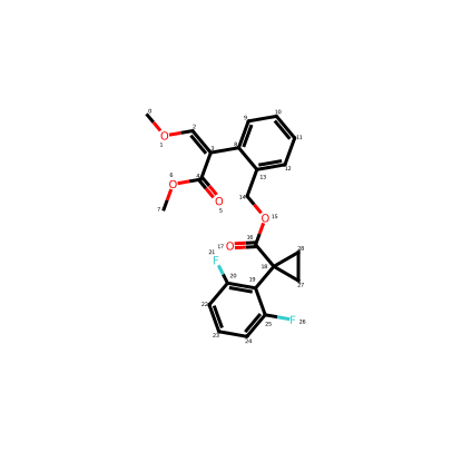 COC=C(C(=O)OC)c1ccccc1COC(=O)C1(c2c(F)cccc2F)CC1